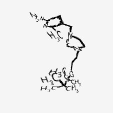 Cc1nc(N)ccc1CN1CCN(CCO[Si](C)(C)C(C)(C)C)CC1